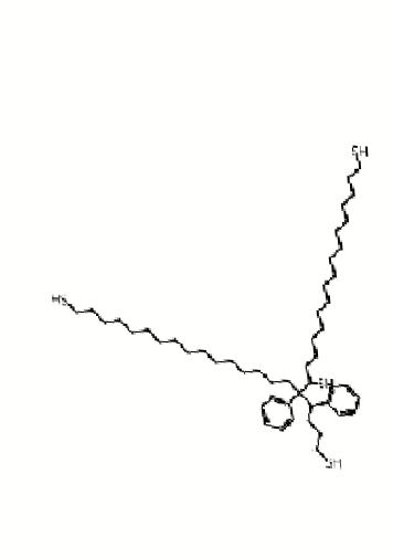 S[CH]CCC(c1ccccc1)C(CCCCCCCCCCCCCCCCS)([C](S)CCCCCCCCCCCCCCCCS)c1ccccc1